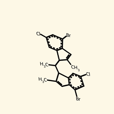 CC1=Cc2c(Br)cc(Cl)cc2C1C(C)C1C(C)=Cc2c(Br)cc(Cl)cc21